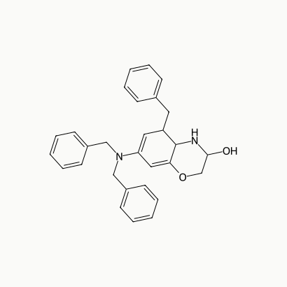 OC1COC2=CC(N(Cc3ccccc3)Cc3ccccc3)=CC(Cc3ccccc3)C2N1